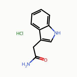 Cl.NC(=O)Cc1c[nH]c2ccccc12